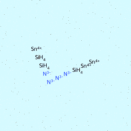 [N-3].[N-3].[N-3].[N-3].[SiH4].[SiH4].[SiH4].[Sn+4].[Sn+4].[Sn+4]